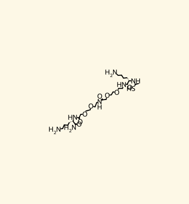 CC(S)N[C@@H](CCCCN)C(=O)NCCOCCOCC(=O)NCCOCCOCC(=O)N[C@@H](CCCCN)C(N)=O